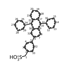 O=S(=O)(O)Cc1ccc(-c2ccc3c(-c4ccccc4)c4ccccc4c(-c4ccccc4)c3c2)cc1